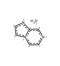 O.c1cn2ccnc2cn1